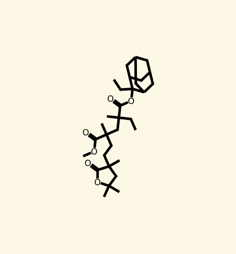 CCC(C)(CC(C)(CCC1(C)CC(C)(C)OC1=O)C(=O)OC)C(=O)OC1(CC)C2CC3CC(C2)CC1C3